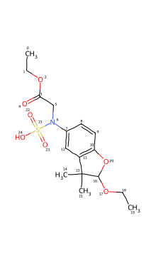 CCOC(=O)CN(c1ccc2c(c1)C(C)(C)C(OCC)O2)S(=O)(=O)O